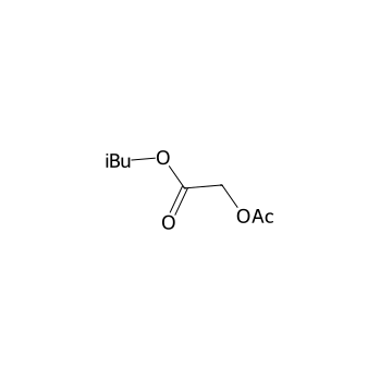 CCC(C)OC(=O)COC(C)=O